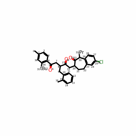 Cc1ccc(C(=O)CC(Cc2ccccc2C)C(=O)CC2CCc3cc(Cl)ccc3C(C(C)C)C2=O)c(C(C)(C)C)c1